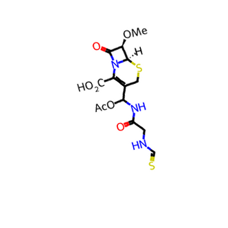 CO[C@@H]1C(=O)N2C(C(=O)O)=C(C(NC(=O)CNC=S)OC(C)=O)CS[C@H]12